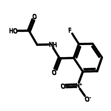 O=C(O)CNC(=O)c1c(F)cccc1[N+](=O)[O-]